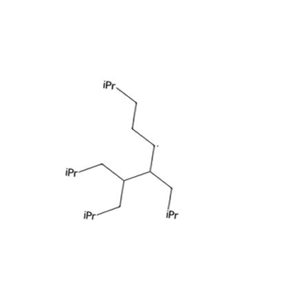 CC(C)CC[CH]C(CC(C)C)C(CC(C)C)CC(C)C